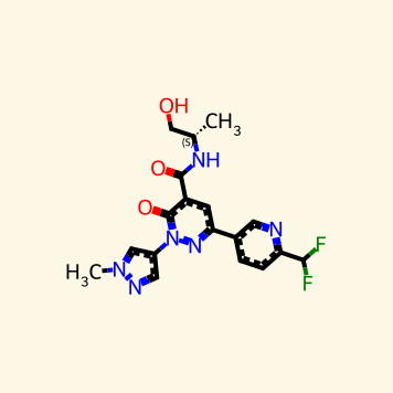 C[C@@H](CO)NC(=O)c1cc(-c2ccc(C(F)F)nc2)nn(-c2cnn(C)c2)c1=O